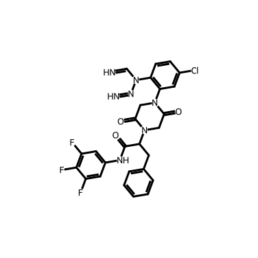 N=CN(N=N)c1ccc(Cl)cc1N1CC(=O)N(C(Cc2ccccc2)C(=O)Nc2cc(F)c(F)c(F)c2)CC1=O